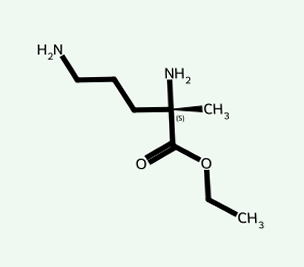 CCOC(=O)[C@@](C)(N)CCCN